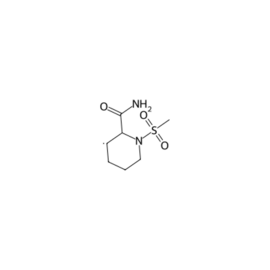 CS(=O)(=O)N1CCC[CH]C1C(N)=O